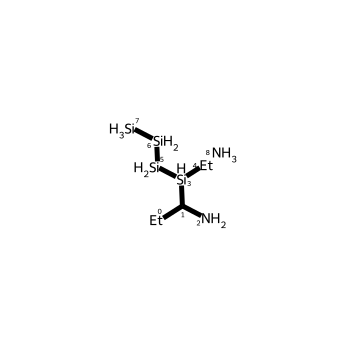 CCC(N)[SiH](CC)[SiH2][SiH2][SiH3].N